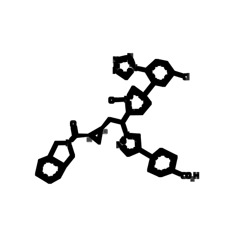 O=C(O)c1ccc(-c2cnn(C(C[C@H]3C[C@H]3C(=O)N3Cc4ccccc4C3)c3ccc(-c4cc(Cl)ccc4-n4cnnn4)c[n+]3[O-])c2)cc1